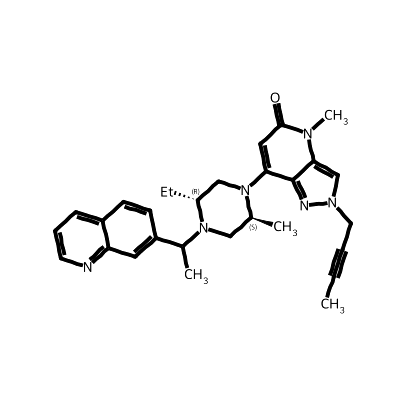 CC#CCn1cc2c(n1)c(N1C[C@@H](CC)N(C(C)c3ccc4cccnc4c3)C[C@@H]1C)cc(=O)n2C